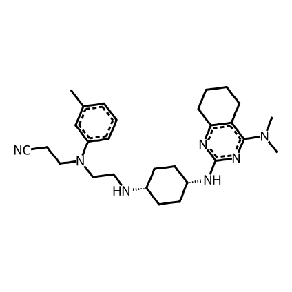 Cc1cccc(N(CCC#N)CCN[C@H]2CC[C@@H](Nc3nc4c(c(N(C)C)n3)CCCC4)CC2)c1